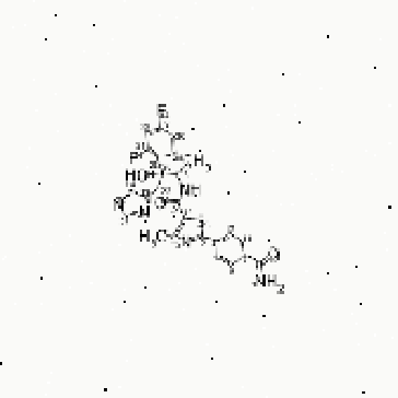 Cc1nc(-c2ccc(C(N)=O)cc2)sc1C(=O)NC(C)C(O)(Cn1cncn1)c1ccc(F)cc1F